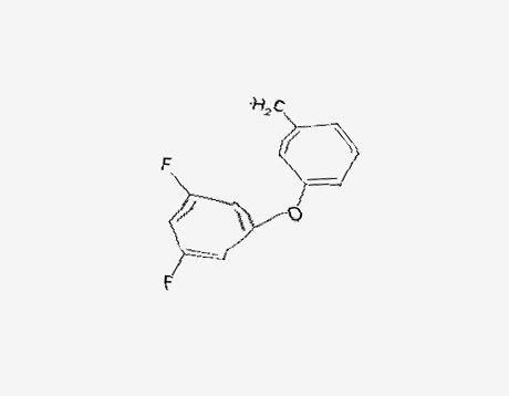 [CH2]c1cccc(Oc2cc(F)cc(F)c2)c1